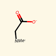 C[N+]CC(=O)[O-]